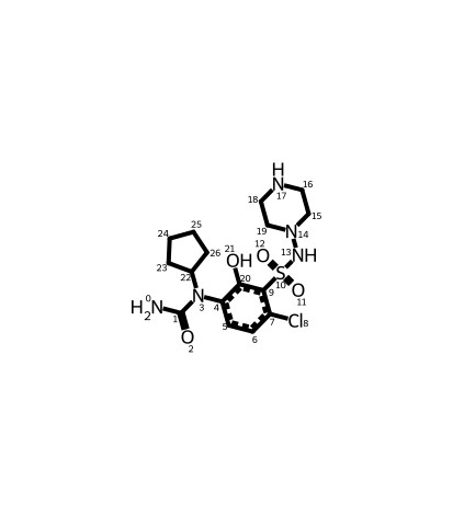 NC(=O)N(c1ccc(Cl)c(S(=O)(=O)NN2CCNCC2)c1O)C1CCCC1